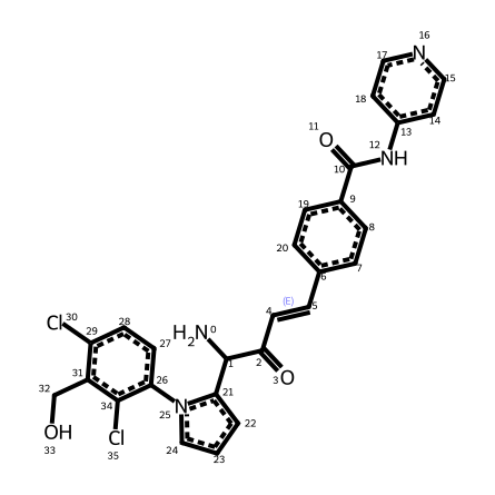 NC(C(=O)/C=C/c1ccc(C(=O)Nc2ccncc2)cc1)c1cccn1-c1ccc(Cl)c(CO)c1Cl